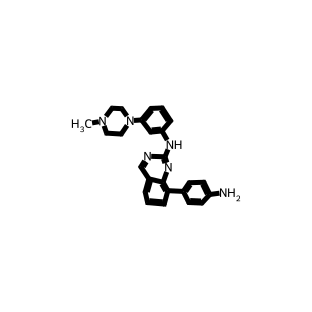 CN1CCN(c2cccc(Nc3ncc4cccc(-c5ccc(N)cc5)c4n3)c2)CC1